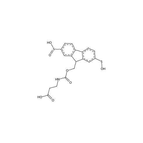 O=C(O)CCNC(=O)OCC1c2cc(SO)ccc2-c2ccc(S(=O)O)cc21